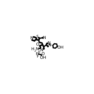 N#Cc1sc2cnccc2c1-c1cc2c(-c3cnn([C@H]4CC[C@H](O)CC4)c3)cnc(N)c2o1.O=C(O)C(F)(F)F